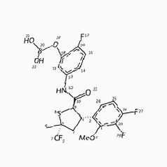 COc1c([C@@H]2C[C@](C)(C(F)(F)F)S[C@H]2C(=O)Nc2ccc(F)c(OB(O)O)c2)ccc(F)c1F